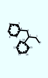 [CH2]CC(Cc1ccccc1)c1ccccc1